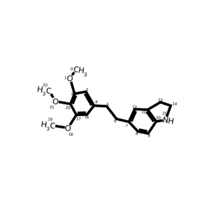 COc1cc(CCc2ccc3c(c2)CCN3)cc(OC)c1OC